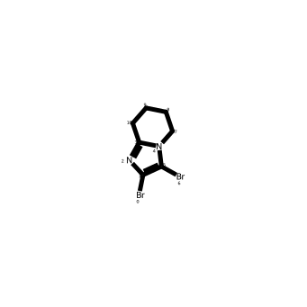 Brc1nc2n(c1Br)CCCC2